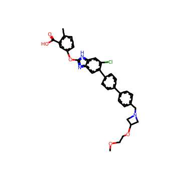 COCCOC1CN(Cc2ccc(-c3ccc(-c4cc5nc(Oc6ccc(C)c(C(=O)O)c6)[nH]c5cc4Cl)cc3)cc2)C1